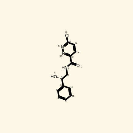 O=C(NC[C@@H](O)c1ccccc1)c1ccc(Cl)nn1